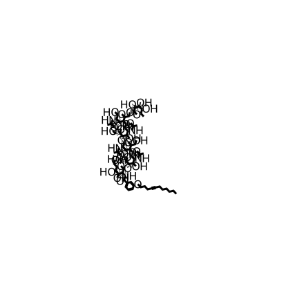 CCCCCCC#CCCCOc1cccc(C(=O)N[C@@H]2C(O[C@H]3C(O)C(NC(C)=O)[C@H](OC4C(CO)O[C@@H](O[C@H]5C(O)C(NC(C)=O)C(OC6C(CO[C@@H]7OC(C)C(O)[C@H](O)[C@H]7O)OC(O)[C@@H](NC(C)=O)[C@H]6O)O[C@H]5CO)[C@@H](NC(C)=O)[C@H]4O)O[C@H]3CO)OC(CO)[C@@H](O)C2O)c1